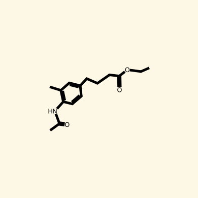 CCOC(=O)CCCc1ccc(NC(C)=O)c(C)c1